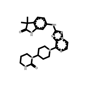 CC1(C)C(=O)Nc2cc(Nc3nc4c(N5CCC(N6CCCNC6=O)CC5)nccn4n3)ccc21